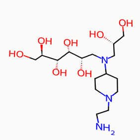 NCCN1CCC(N(C[C@H](O)CO)C[C@H](O)[C@@H](O)[C@H](O)[C@H](O)CO)CC1